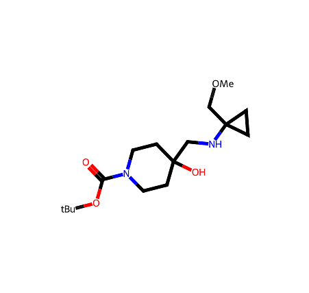 COCC1(NCC2(O)CCN(C(=O)OC(C)(C)C)CC2)CC1